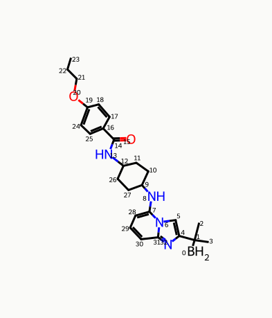 BC(C)(C)c1cn2c(NC3CCC(NC(=O)c4ccc(OCCC)cc4)CC3)cccc2n1